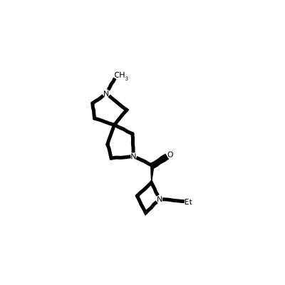 CCN1CC[C@H]1C(=O)N1CCC2(CCN(C)C2)C1